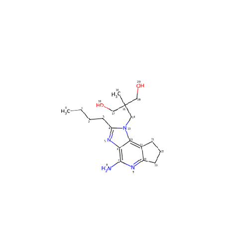 CCCCc1nc2c(N)nc3c(c2n1CC(C)(CO)CO)CCC3